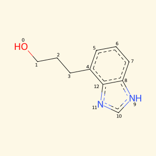 OCCCc1cccc2[nH]cnc12